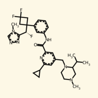 CC(C)C1CN(C)CCN1Cc1cc(C(=O)Nc2cccc(C3([C@H](F)c4nncn4C)CC(F)(F)C3)c2)nc(C2CC2)c1